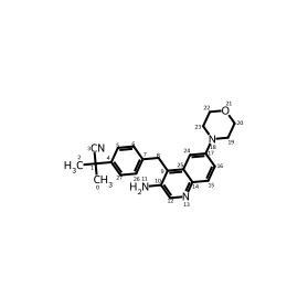 CC(C)(C#N)c1ccc(Cc2c(N)cnc3ccc(N4CCOCC4)cc23)cc1